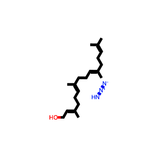 CC(C)=CCCC(C)=CCCC(C)=CCCC(C)=CCO.[N-]=[N+]=N